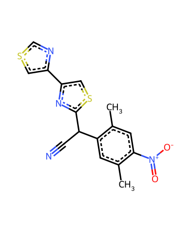 Cc1cc([N+](=O)[O-])c(C)cc1C(C#N)c1nc(-c2cscn2)cs1